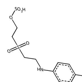 O=S(=O)(CCNc1ccc(Cl)cc1)CCOS(=O)(=O)O